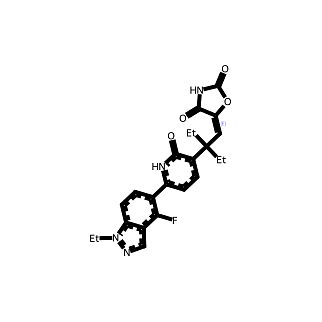 CCn1ncc2c(F)c(-c3ccc(C(/C=C4/OC(=O)NC4=O)(CC)CC)c(=O)[nH]3)ccc21